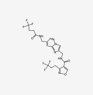 O=C(CCC(F)(F)F)NCc1cnn2cc(CNC(=O)c3conc3CCC(F)(F)F)nc2c1